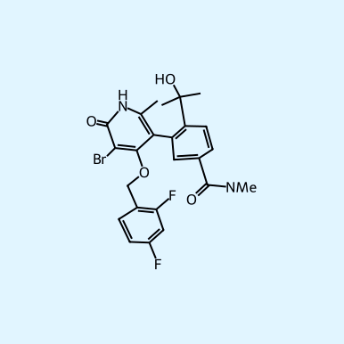 CNC(=O)c1ccc(C(C)(C)O)c(-c2c(C)[nH]c(=O)c(Br)c2OCc2ccc(F)cc2F)c1